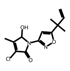 C=CC(C)(C)c1cc(N2C(=O)C(Cl)=C(C)C2O)no1